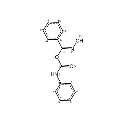 O=C(Nc1ccccc1)OC(=NO)c1ccccc1